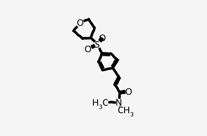 CN(C)C(=O)C=Cc1ccc(S(=O)(=O)C2CCOCC2)cc1